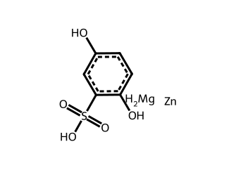 O=S(=O)(O)c1cc(O)ccc1O.[MgH2].[Zn]